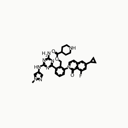 Cn1cc(Nc2nc(N)nc(-c3cccc(-n4ccc5cc(C6CC6)cc(F)c5c4=O)c3COC(=O)C3CCNCC3)n2)cn1